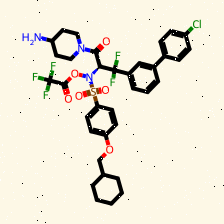 NC1CCN(C(=O)[C@H](N(OC(=O)C(F)(F)F)S(=O)(=O)c2ccc(OCC3CCCCC3)cc2)C(F)(F)c2cccc(-c3ccc(Cl)cc3)c2)CC1